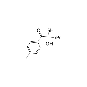 CCCC(O)(S)C(=O)c1ccc(C)cc1